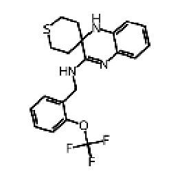 FC(F)(F)Oc1ccccc1CNC1=Nc2ccccc2NC12CCSCC2